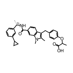 Cc1c(Cc2ccc(OC(C)C(=O)O)cc2)c2ccc(C(=O)N[C@@H](C)c3cccc(C4CC4)c3)cc2n1C